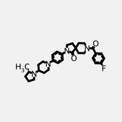 C[C@H]1CCCN1C1CCN(c2ccc(N3CCC4(CCN(C(=O)c5ccc(F)cc5)CC4)C3=O)cc2)CC1